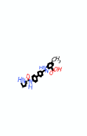 Cc1cc(C(=O)O)c2nc(-c3ccc(-c4ccc(NC(=O)[C@@H]5CCCN5)cc4)cc3)[nH]c2c1